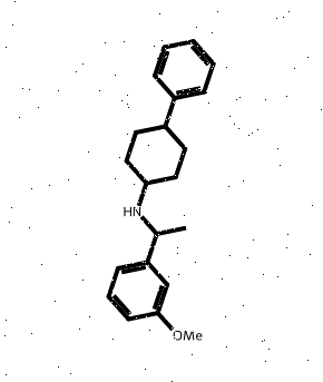 COc1cccc(C(C)NC2CCC(c3ccccc3)CC2)c1